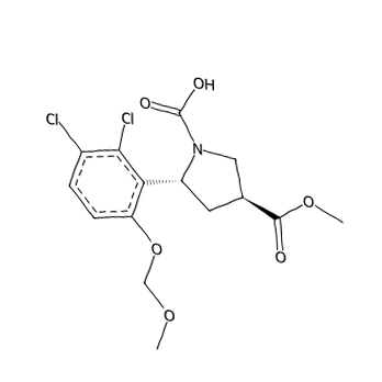 COCOc1ccc(Cl)c(Cl)c1[C@H]1C[C@H](C(=O)OC)CN1C(=O)O